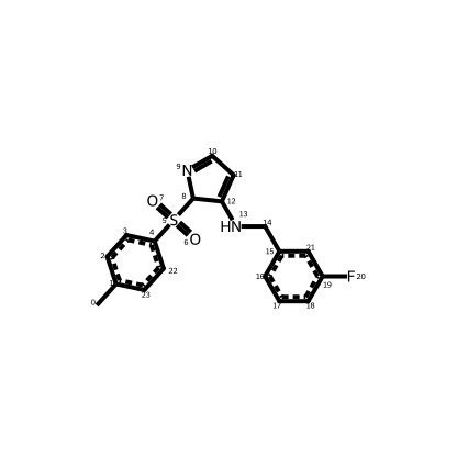 Cc1ccc(S(=O)(=O)C2N=CC=C2NCc2cccc(F)c2)cc1